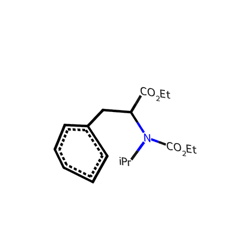 CCOC(=O)C(Cc1ccccc1)N(C(=O)OCC)C(C)C